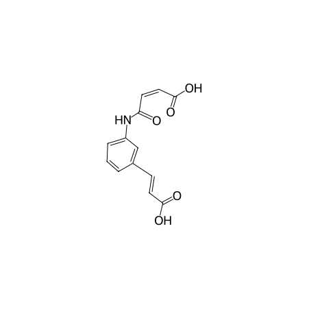 O=C(O)C=Cc1cccc(NC(=O)/C=C\C(=O)O)c1